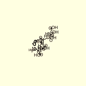 O=C(O)CCC(NC(=O)NC(CCCCNC(=O)C(Cc1ccc2ccccc2c1)NC(=O)CCC(NC(=O)C(CCC(=O)O)NC(=O)c1ccnc([18F])c1)C(=O)O)C(=O)O)C(=O)O